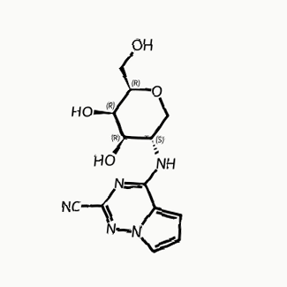 N#Cc1nc(N[C@H]2CO[C@H](CO)[C@H](O)[C@@H]2O)c2cccn2n1